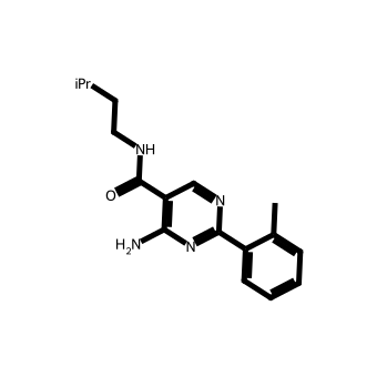 Cc1ccccc1-c1ncc(C(=O)NCCC(C)C)c(N)n1